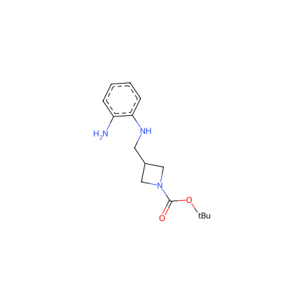 CC(C)(C)OC(=O)N1CC(CNc2ccccc2N)C1